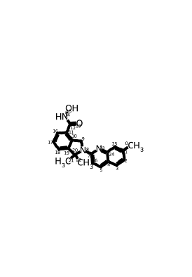 Cc1ccc2ccc(N3Cc4c(C(=O)NO)cccc4C3(C)C)nc2c1